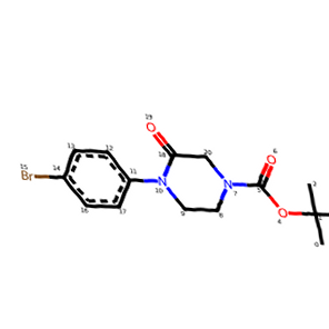 CC(C)(C)OC(=O)N1CCN(c2ccc(Br)cc2)C(=O)C1